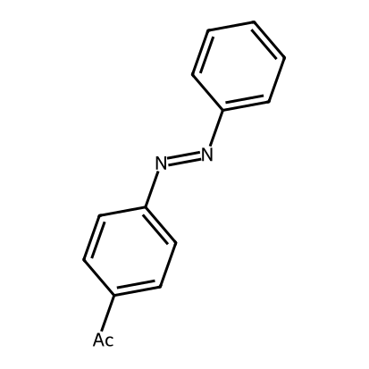 CC(=O)c1ccc(/N=N/c2ccccc2)cc1